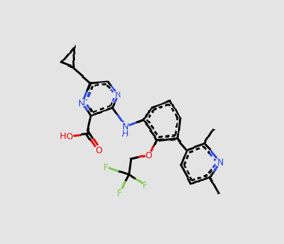 Cc1ccc(-c2cccc(Nc3ncc(C4CC4)nc3C(=O)O)c2OCC(F)(F)F)c(C)n1